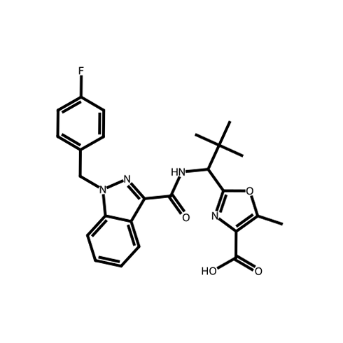 Cc1oc(C(NC(=O)c2nn(Cc3ccc(F)cc3)c3ccccc23)C(C)(C)C)nc1C(=O)O